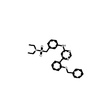 CCN(CC)S(=O)(=O)Cc1cccc(Nc2cc(-c3ccccc3OCc3ccccc3)ncn2)c1